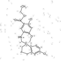 CCOC(=O)c1cc2c(cc1Cl)OC[C@]1(CCCc3cc(Cl)ccc31)CN2